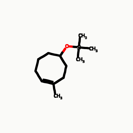 CC1=CCCCC(O[Si](C)(C)C)CC1